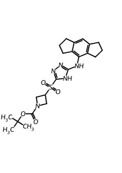 CC(C)(C)OC(=O)N1CC(S(=O)(=O)c2nnc(Nc3c4c(cc5c3CCC5)CCC4)[nH]2)C1